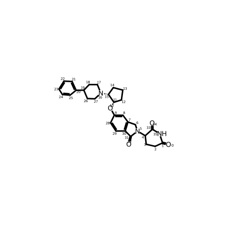 O=C1CCC(N2Cc3cc(O[C@H]4CCC[C@H]4N4CCC(c5ccccc5)CC4)ccc3C2=O)C(=O)N1